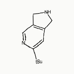 CC(C)(C)c1cc2c(cn1)CNC2